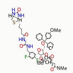 CNC(=O)CCC(=O)COC1[C@@H](COC(c2ccccc2)(c2ccccc2)c2ccc(OC)cc2)O[C@@H](c2cc(CNC(=O)CNC(=O)CCCC[C@@H]3SC[C@@H]4NC(=O)N[C@@H]43)c(F)cc2F)[C@H]1O[Si](C)(C)C(C)(C)C